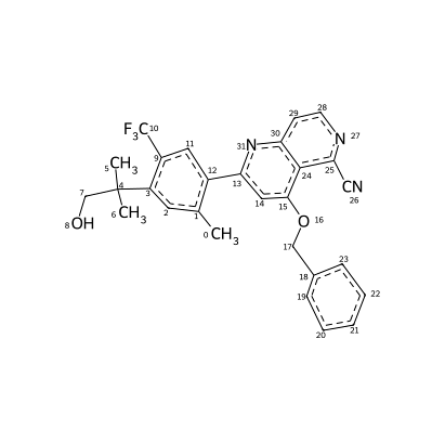 Cc1cc(C(C)(C)CO)c(C(F)(F)F)cc1-c1cc(OCc2ccccc2)c2c(C#N)nccc2n1